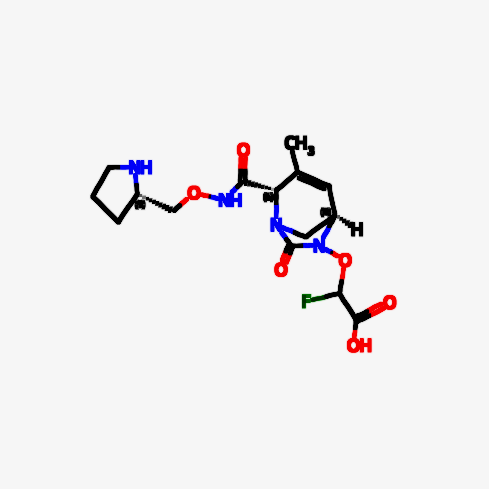 CC1=C[C@@H]2CN(C(=O)N2OC(F)C(=O)O)[C@@H]1C(=O)NOC[C@@H]1CCCN1